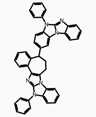 c1ccc(-n2c3ccccc3n3c4c(nc23)-c2ccccc2C(c2ccc3c(c2)n2c5ccccc5nc2n3-c2ccccc2)CC4)cc1